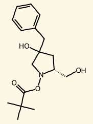 CC(C)(C)C(=O)ON1CC(O)(Cc2ccccc2)C[C@@H]1CO